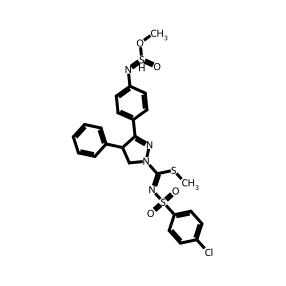 CO[SH](=O)=Nc1ccc(C2=NN(/C(=N/S(=O)(=O)c3ccc(Cl)cc3)SC)CC2c2ccccc2)cc1